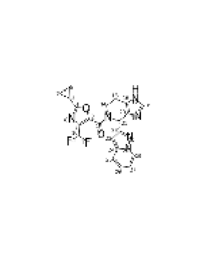 O=C(c1oc(C2CC2)nc1C(F)F)N1CCc2[nH]cnc2[C@@H]1c1cc2ccccn2n1